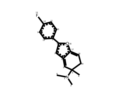 CN(C)C1(C)C=c2cc(-c3ccc(F)cc3)oc2=CC1